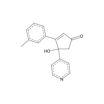 Cc1cccc(C2=CC(=O)CC2(O)c2ccncc2)c1